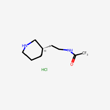 Cl.O=C(NCC[C@@H]1CCCNC1)C(F)(F)F